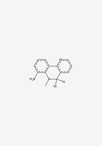 [2H]C1([2H])c2cccnc2-c2cccc(N)c2N1C